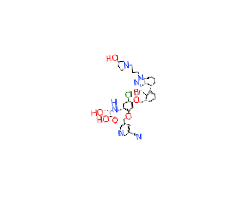 N#Cc1cncc(COc2cc(OCc3cccc(-c4cccc5c4cnn5CCCN4CCC(O)C4)c3Br)c(Cl)cc2CN[C@@H](CO)C(=O)O)c1